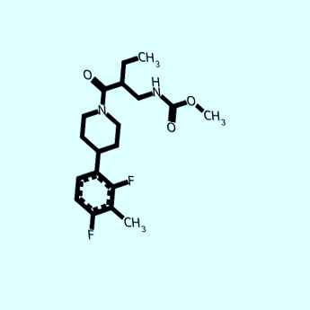 CCC(CNC(=O)OC)C(=O)N1CCC(c2ccc(F)c(C)c2F)CC1